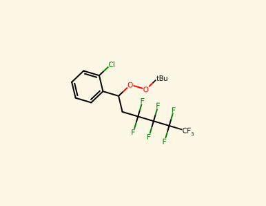 CC(C)(C)OOC(CC(F)(F)C(F)(F)C(F)(F)C(F)(F)F)c1ccccc1Cl